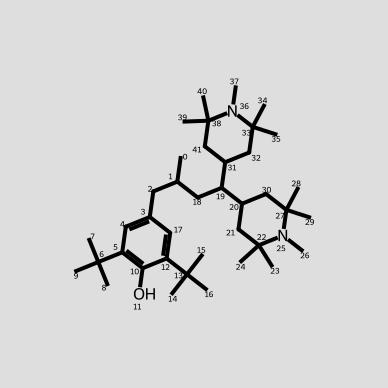 CC(Cc1cc(C(C)(C)C)c(O)c(C(C)(C)C)c1)CC(C1CC(C)(C)N(C)C(C)(C)C1)C1CC(C)(C)N(C)C(C)(C)C1